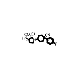 CCOC(=O)N[C@H]1CCN(C2CCC(C#N)(c3ccc(F)cc3)CC2)C1